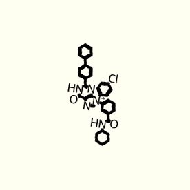 O=C(NC1CCCCC1)c1cccc([N+]2(c3ccc(Cl)cc3)C=Nc3c2nc(-c2ccc(-c4ccccc4)cc2)[nH]c3=O)c1